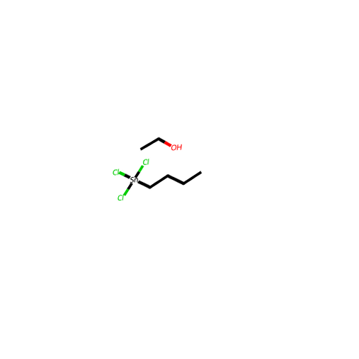 CCC[CH2][Sn]([Cl])([Cl])[Cl].CCO